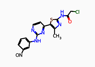 Cc1nc(NC(=O)CCl)sc1-c1ccnc(Nc2cccc(N=O)c2)n1